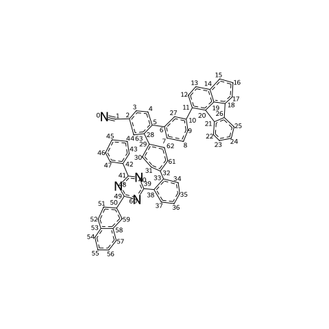 N#Cc1ccc(-c2cccc(-c3ccc4cccc5c4c3-c3ccccc3-5)c2)c(-c2ccc(-c3ccccc3-c3nc(-c4ccccc4)nc(-c4ccc5ccccc5c4)n3)cc2)c1